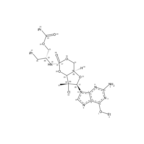 CCOc1nc(N)nc2c1ncn2[C@@H]1O[C@@H]2CO[P@@](=O)(N[C@@H](COC(=O)C(C)C)CC(C)C)OC2[C@@]1(C)Cl